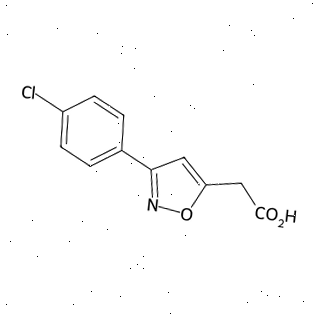 O=C(O)Cc1cc(-c2ccc(Cl)cc2)no1